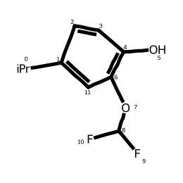 CC(C)c1ccc(O)c(OC(F)F)c1